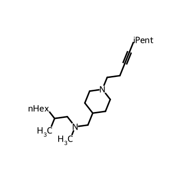 CCCCCCC(C)CN(C)CC1CCN(CCC#CC(C)CCC)CC1